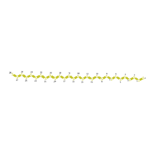 S=S=S=S=S=S=S=S=S=S=S=S=S=S=S=S=S=S=S=S=S=S=S=S=S=S=S=S=S